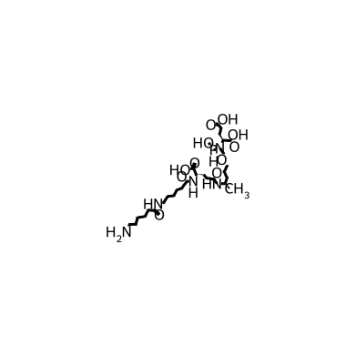 C[C@H](CCCOCN(PO)[C@@H](CCC(=O)O)C(=O)O)NC(=O)CC[C@H](NC(=O)CCCCCNC(=O)CCCCCN)C(=O)O